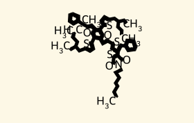 CCCCCCCCN1C(=O)c2sc3c(-c4cc5c(-c6ccc(CC(CC)CCCC)s6)c6oc(C(C)(C)c7ccccc7)cc6c(-c6ccc(CC(CC)CCCC)s6)c5o4)sc(-c4ccccc4)c3c2C1=O